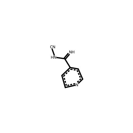 N#CNC(=N)c1ccncc1